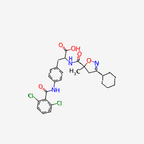 CC1(C(=O)NC(Cc2ccc(NC(=O)c3c(Cl)cccc3Cl)cc2)C(=O)O)CC(C2CCCCC2)=NO1